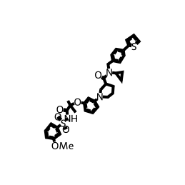 COc1cccc(S(=O)(=O)NC(=O)C(C)(C)Oc2cccc(N3CCCC(C(=O)N(Cc4ccc(-c5cccs5)cc4)C4CC4)C3)c2)c1